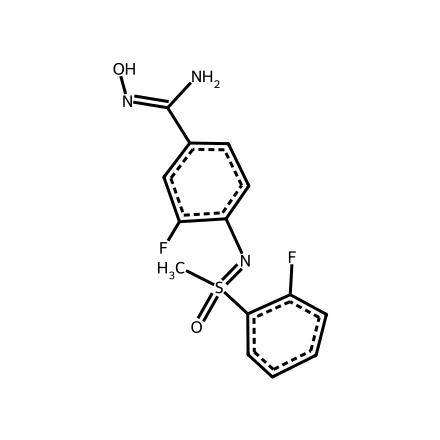 CS(=O)(=Nc1ccc(/C(N)=N/O)cc1F)c1ccccc1F